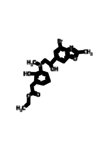 CCOC(=O)Cc1cccc(N(C)CC(O)c2cc(Br)c3nc(C)oc3c2)c1O